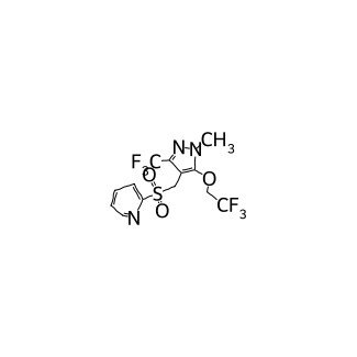 Cn1nc(C(F)(F)F)c(CS(=O)(=O)c2ccccn2)c1OCC(F)(F)F